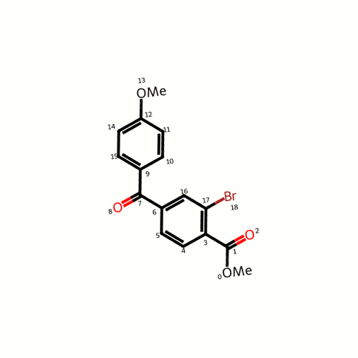 COC(=O)c1ccc(C(=O)c2ccc(OC)cc2)cc1Br